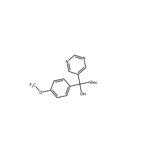 CCCCCCCCCCC(O)(c1ccc(OC(F)(F)F)cc1)c1cncnc1